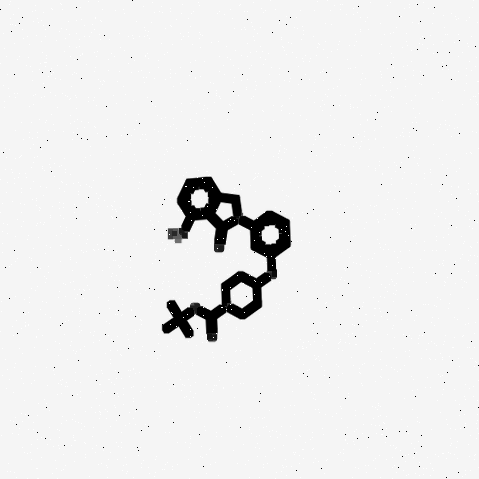 CC(C)(C)OC(=O)N1CCC(Oc2cccc(N3Cc4cccc(N)c4C3=O)c2)CC1